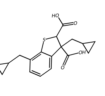 O=C(O)C1Sc2c(CC3CC3)cccc2C1(CC1CC1)C(=O)O